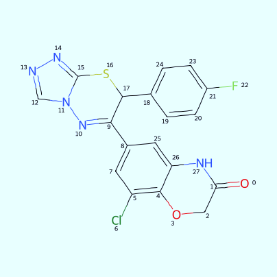 O=C1COc2c(Cl)cc(C3=Nn4cnnc4SC3c3ccc(F)cc3)cc2N1